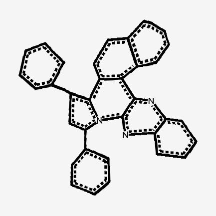 c1ccc(-c2cc(-c3ccccc3)n3c4nc5ccccc5nc4c4c5ccccc5ccc4c23)cc1